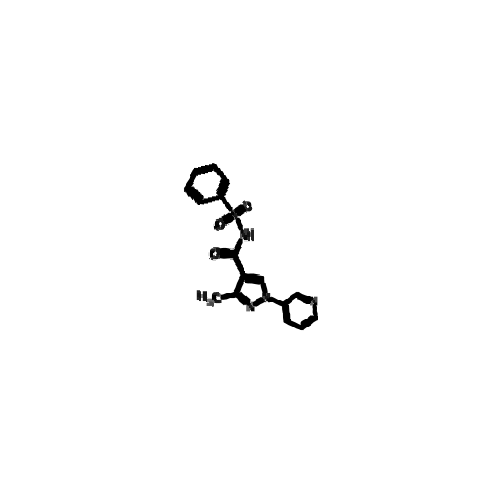 Cc1nn(-c2cccnc2)cc1C(=O)NS(=O)(=O)c1ccccc1